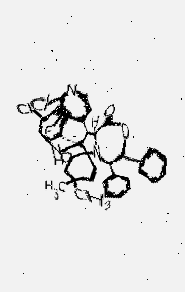 CC1(C)CCC2(CC1)N1[C@H](c3ccccc3)[C@H](c3ccccc3)OC(=O)[C@H]1[C@H](c1ccnc(Cl)c1F)[C@]21C(=O)Nc2cc(Cl)ccc21